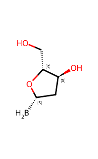 B[C@H]1C[C@H](O)[C@@H](CO)O1